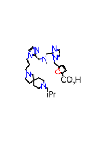 CC(C)CN1CCC2(CC1)CCN(CCCn1ccnc1CN(C)Cc1nccn1Cc1ccc(C(=O)O)o1)C2